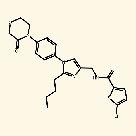 CCCCc1nc(CNC(=O)c2ccc(Cl)s2)cn1-c1ccc(N2CCOCC2=O)cc1